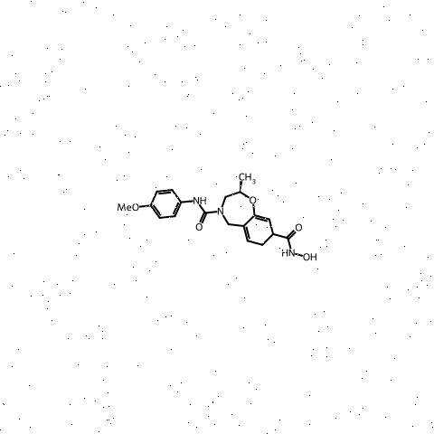 COc1ccc(NC(=O)N2CC3=CCC(C(=O)NO)C=C3O[C@H](C)C2)cc1